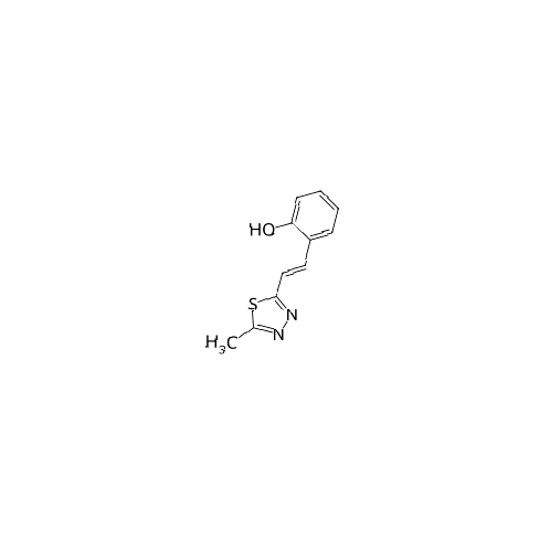 Cc1nnc(/C=C/c2ccccc2O)s1